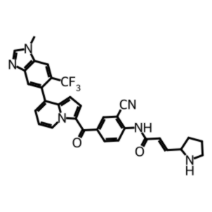 Cn1cnc2cc(-c3cccn4c(C(=O)c5ccc(NC(=O)C=CC6CCCN6)c(C#N)c5)ccc34)c(C(F)(F)F)cc21